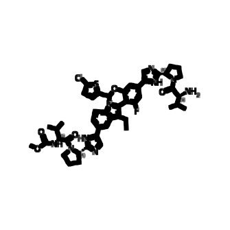 CCc1c2n(c3ccc(-c4cnc([C@@H]5CCCN5C(=O)[C@@H](NC(=O)OC)C(C)C)[nH]4)cc13)C(c1ccc(Cl)s1)Oc1cc(-c3cnc([C@@H]4CCCN4C(=O)[C@@H](N)C(C)C)[nH]3)cc(F)c1-2